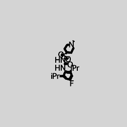 CC(C)c1cc(F)cc(C(C)C)c1NC(=O)NS(=O)(=O)C1CCN(C)CC1